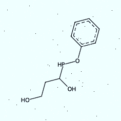 OCCC(O)POc1ccccc1